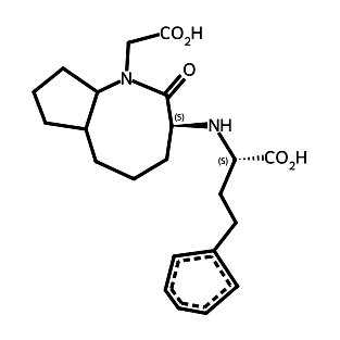 O=C(O)CN1C(=O)[C@@H](N[C@@H](CCc2ccccc2)C(=O)O)CCCC2CCCC21